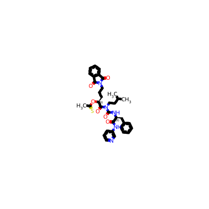 CC(=S)O[C@@H](CCCN1C(=O)c2ccccc2C1=O)C(=O)N(CCC(C)C)C(=O)N[C@@H](Cc1ccccc1)C(=O)Nc1cccnc1